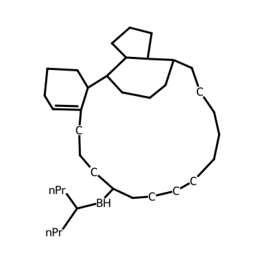 CCCC(BC1CCCCCCCCCC2CCCC(C3CCCC=C3CCC1)C1CCCC21)CCC